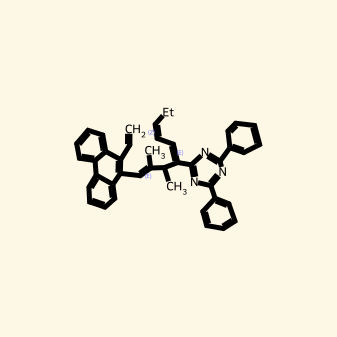 C=Cc1c(/C=C(\C)C(C)/C(=C\C=C/CC)c2nc(-c3ccccc3)nc(-c3ccccc3)n2)c2ccccc2c2ccccc12